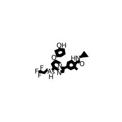 Cc1cc(-c2cnc3c([AsH]CCC(F)(F)F)cc(Oc4cccc(O)c4)cn23)ccc1C(=O)NC1CC1